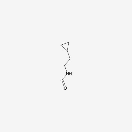 O=[C]NCCC1CC1